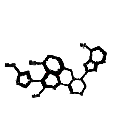 COc1ccc(CN2C(c3ccc(-n4cnc(OC)c4)c(OC)n3)=NOCC2c2cc3cccc(C)c3o2)cc1